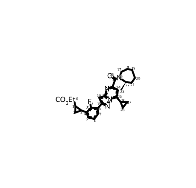 CCOC(=O)C1CC1c1cccc(-c2cc3nc(C(=O)N4CCCCC[C@H]4C)cc(C4CC4)n3n2)c1F